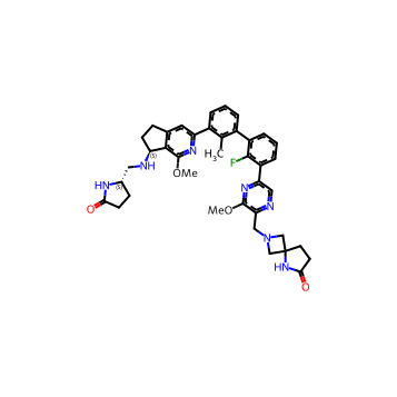 COc1nc(-c2cccc(-c3cccc(-c4cc5c(c(OC)n4)[C@@H](NC[C@@H]4CCC(=O)N4)CC5)c3C)c2F)cnc1CN1CC2(CCC(=O)N2)C1